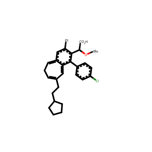 CCc1cc2c(c(-c3ccc(Cl)cc3)c1C(OC(C)(C)C)C(=O)O)=CC(CCC1CCCC1)=CCC=2